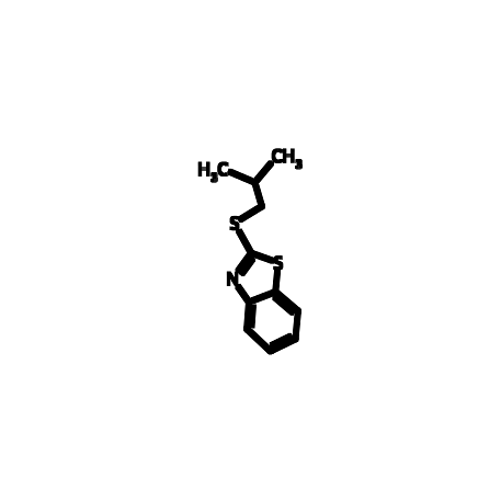 CC(C)CSc1nc2ccccc2s1